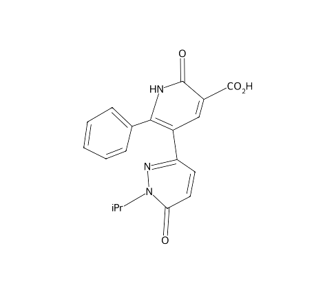 CC(C)n1nc(-c2cc(C(=O)O)c(=O)[nH]c2-c2ccccc2)ccc1=O